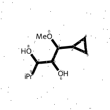 COC(C1CC1)C(O)C(O)C(C)C